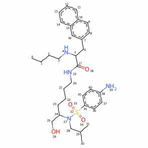 CCCCNC(Cc1ccc2ccccc2c1)C(=O)NCCCCC(CO)N(CC(C)C)S(=O)(=O)c1ccc(N)cc1